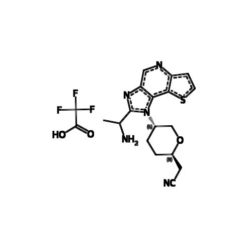 CC(N)c1nc2cnc3ccsc3c2n1[C@H]1CC[C@H](CC#N)OC1.O=C(O)C(F)(F)F